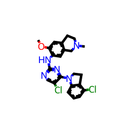 COc1cc2c(cc1Nc1ncc(Cl)c(N3CCc4c(Cl)cccc43)n1)CN(C)CC2